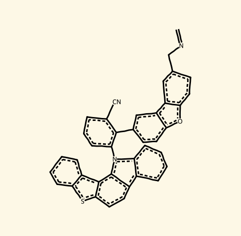 C=NCc1ccc2oc3ccc(-c4c(C#N)cccc4-n4c5ccccc5c5ccc6sc7ccccc7c6c54)cc3c2c1